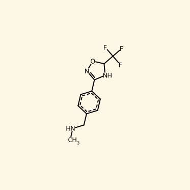 CNCc1ccc(C2=NOC(C(F)(F)F)N2)cc1